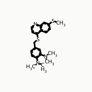 CSc1ccc2c(SCc3ccc(N(C)C)c(N(C)C)c3)ccnc2c1